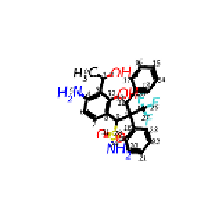 CC(O)c1c(N)ccc(C(C(Cc2ccccc2)(c2ccccc2)C(F)(F)F)S(N)(=O)=O)c1O